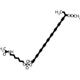 C=C=C=C(C#CC#CC#CC#CC#CC#CC#CC#CC#COP(=O)(O)OCCCCCCNC(C)=O)CC